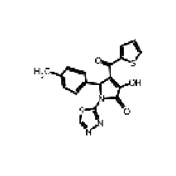 Cc1ccc(C2C(C(=O)c3cccs3)=C(O)C(=O)N2c2nncs2)cc1